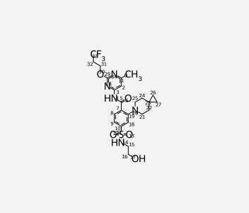 Cc1cc(NC(=O)c2ccc(S(=O)(=O)NCCO)cc2N2CCC3(CC2)CC3)nc(OCCC(F)(F)F)n1